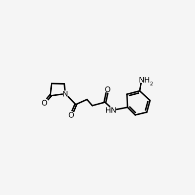 Nc1cccc(NC(=O)CCC(=O)N2CCC2=O)c1